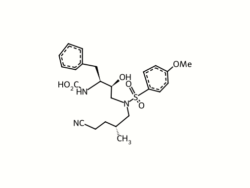 COc1ccc(S(=O)(=O)N(C[C@H](C)CCC#N)C[C@H](O)[C@H](Cc2ccccc2)NC(=O)O)cc1